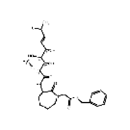 CO[C@@H](C(=O)NC1CCCCN(CC(=O)OCc2ccccc2)C1=O)[C@H](O)[C@@H](O)[C@H](O)C=CC(C)C